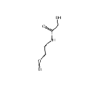 CCOCCNC(=O)CO